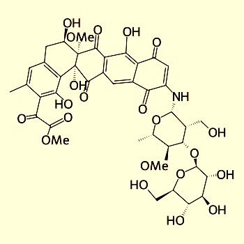 COC(=O)C(=O)c1c(C)cc2c(c1O)[C@]1(O)C(=O)c3cc4c(c(O)c3C(=O)[C@]1(OC)[C@H](O)C2)C(=O)C=C(N[C@H]1O[C@@H](C)[C@H](OC)[C@@H](O[C@@H]2O[C@H](CO)[C@@H](O)[C@H](O)[C@H]2O)[C@H]1CO)C4=O